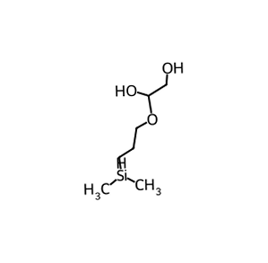 C[SiH](C)CCCOC(O)CO